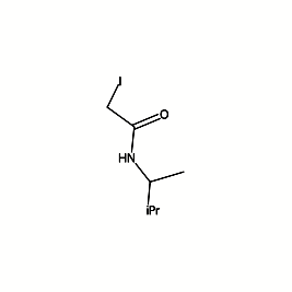 CC(C)C(C)NC(=O)CI